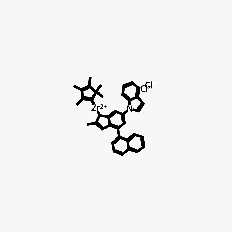 CC1=Cc2c(-c3cccc4ccccc34)cc(-n3ccc4ccccc43)cc2[CH]1[Zr+2][C]1=C(C)C(C)=C(C)C1(C)C.[Cl-].[Cl-]